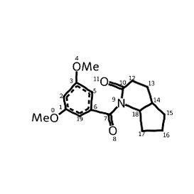 COc1cc(OC)cc(C(=O)N2C(=O)CCC3CCCC32)c1